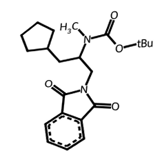 CN(C(=O)OC(C)(C)C)C(CC1CCCC1)CN1C(=O)c2ccccc2C1=O